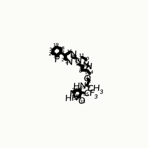 CC(COCc1cc2n(n1)CCN(c1ncc(-c3ccccc3F)cn1)C2)Nc1cn[nH]c(=O)c1C(F)(F)F